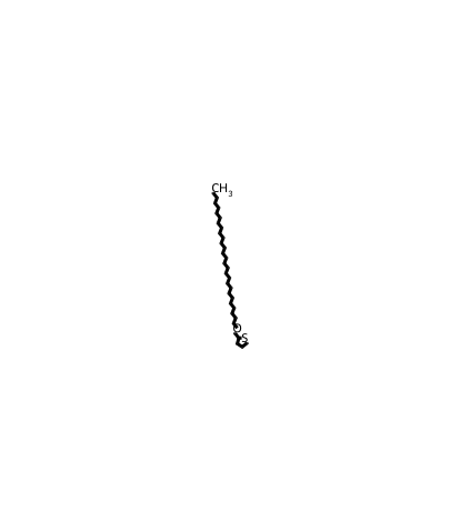 CCCCCCCCCCCCCCCCCCCCCCCCCCCCOCC1CCCS1